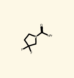 CCCC(=O)N1CCC(F)(F)C1